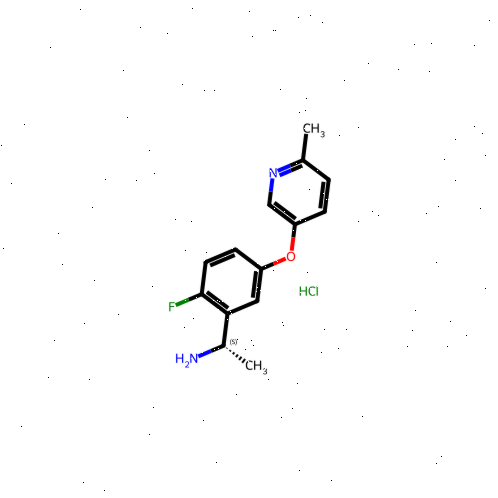 Cc1ccc(Oc2ccc(F)c([C@H](C)N)c2)cn1.Cl